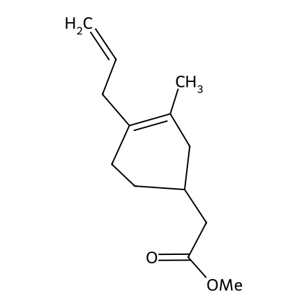 C=CCC1=C(C)CC(CC(=O)OC)CC1